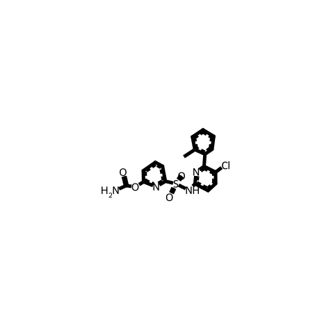 Cc1ccccc1-c1nc(NS(=O)(=O)c2cccc(OC(N)=O)n2)ccc1Cl